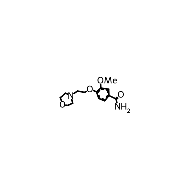 COc1cc(C(N)=O)ccc1OCCN1CCOCC1